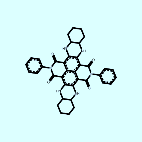 O=C1c2c3c(c4c5c(c6c(c(c25)C(=O)N1c1ccccc1)NC1CCCCC1N6)C(=O)N(c1ccccc1)C4=O)NC1CCCCC1N3